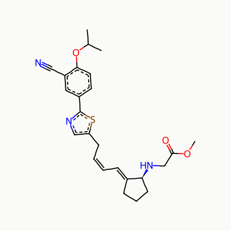 COC(=O)CN[C@H]1CCC/C1=C\C=C/Cc1cnc(-c2ccc(OC(C)C)c(C#N)c2)s1